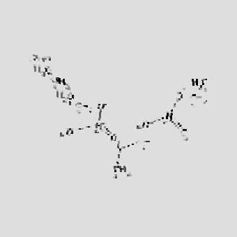 CCO.O.O.O.O.O.O.O=[N+]([O-])[O-].O=[N+]([O-])[O-].[Zn+2]